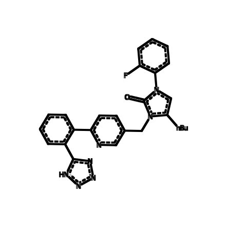 CCCCc1cn(-c2ccccc2F)c(=O)n1Cc1ccc(-c2ccccc2-c2nnn[nH]2)nc1